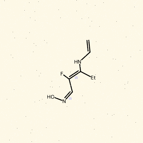 C=CN/C(CC)=C(F)/C=N\O